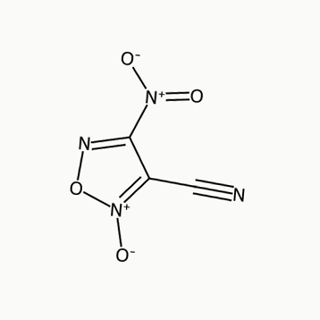 N#Cc1c([N+](=O)[O-])no[n+]1[O-]